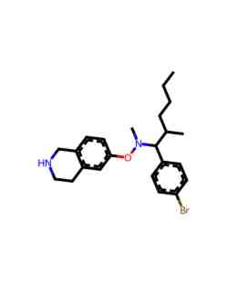 CCCCC(C)C(c1ccc(Br)cc1)N(C)Oc1ccc2c(c1)CCNC2